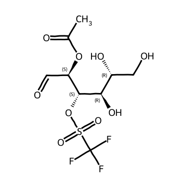 CC(=O)O[C@H](C=O)[C@@H](OS(=O)(=O)C(F)(F)F)[C@H](O)[C@H](O)CO